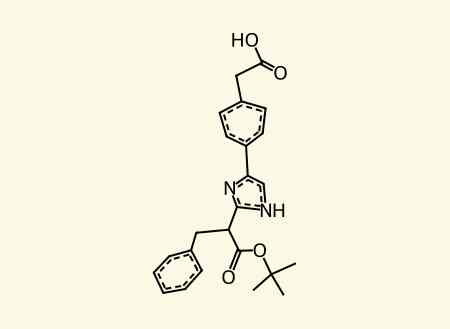 CC(C)(C)OC(=O)C(Cc1ccccc1)c1nc(-c2ccc(CC(=O)O)cc2)c[nH]1